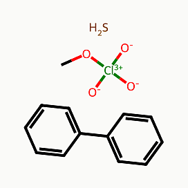 CO[Cl+3]([O-])([O-])[O-].S.c1ccc(-c2ccccc2)cc1